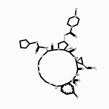 C=C[C@@H]1C[C@@]12NC(=O)[C@@H]1C[C@@H](OC(=O)N3CC[S+]([O-])CC3)CN1C(=O)[C@@H](NC(=O)OC1CCCC1)CCCCCCCNc1ccc(F)cc1S(=O)(=O)NC2=O